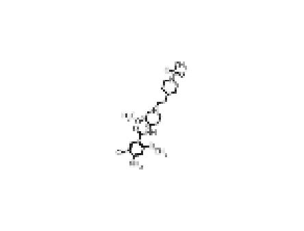 COc1cc(N)c(Cl)cc1C(=O)N[C@@H]1CCN(CCC2CCN(S(C)(=O)=O)CC2)C[C@@H]1OC